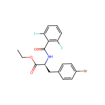 CCOC(=O)[C@H](Cc1ccc(Br)cc1)NC(=O)c1c(F)cccc1F